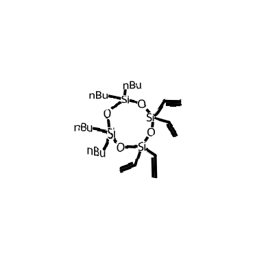 C=C[Si]1(C=C)O[Si](C=C)(C=C)O[Si](CCCC)(CCCC)O[Si](CCCC)(CCCC)O1